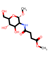 COC(=O)CCC(=O)NC1C(O)[C@H](O)C(CO)O[C@@H]1OC